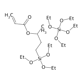 C=CC(=O)OC(C)CC[Si](OCC)(OCC)OCC.CCO[Si](OCC)(OCC)OCC